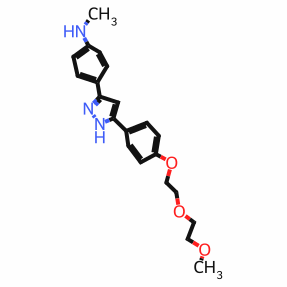 CNc1ccc(-c2cc(-c3ccc(OCCOCCOC)cc3)[nH]n2)cc1